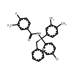 Cc1ccc([C@@](Cc2ccccc2)(NC(=O)c2ccc(F)c(C(F)(F)F)c2)c2ccc(Cl)cn2)cc1C(F)(F)F